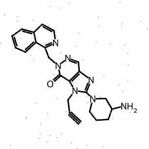 C#CCn1c(N2CCCC(N)C2)nc2cnn(Cc3nccc4ccccc34)c(=O)c21